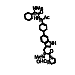 CN[C@@H](Cc1c[nH]c2cc(C3CC=C([C@@H](NC(=O)[C@H](NC)C4CCCCC4)C(C)=O)CC3)ccc12)C(=O)N1CCC[C@H]1C=O